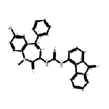 CN1C(=O)C(NC(=S)Nc2cccc3c2-c2ccccc2C3=O)N=C(c2ccccc2)c2cc(Cl)ccc21